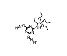 CCO[Si](OCC)(OCC)C(CC)Nc1nc(N=[N+]=[N-])nc(N=[N+]=[N-])n1